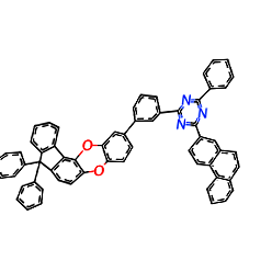 c1ccc(-c2nc(-c3cccc(-c4ccc5c(c4)Oc4c(ccc6c4-c4ccccc4C6(c4ccccc4)c4ccccc4)O5)c3)nc(-c3ccc4c(ccc5ccccc54)c3)n2)cc1